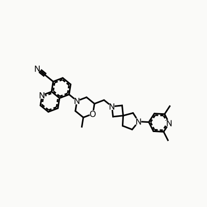 Cc1cc(N2CCC3(CN(CC4CN(c5ccc(C#N)c6ncccc56)CC(C)O4)C3)C2)cc(C)n1